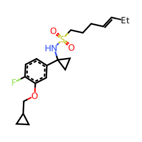 CC/C=C/CCCS(=O)(=O)NC1(c2ccc(F)c(OCC3CC3)c2)CC1